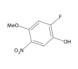 COc1cc(F)c(O)cc1[N+](=O)[O-]